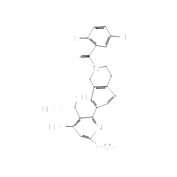 COc1cc(C)c([C@@H](C)C(=O)O)c(-c2ccc3c(c2)CN(C(=O)c2cc(C)ccc2F)CC3)n1